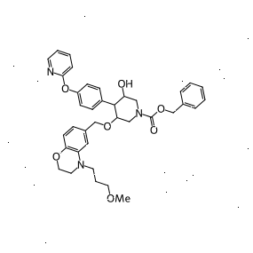 COCCCN1CCOc2ccc(COC3CN(C(=O)OCc4ccccc4)CC(O)C3c3ccc(Oc4ccccn4)cc3)cc21